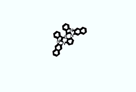 c1cc2c3c(c1)-n1c4cc5ccccc5cc4n4c5ccccc5c(c14)B3c1c3ccccc3n3c4cc5ccccc5cc4n-2c13